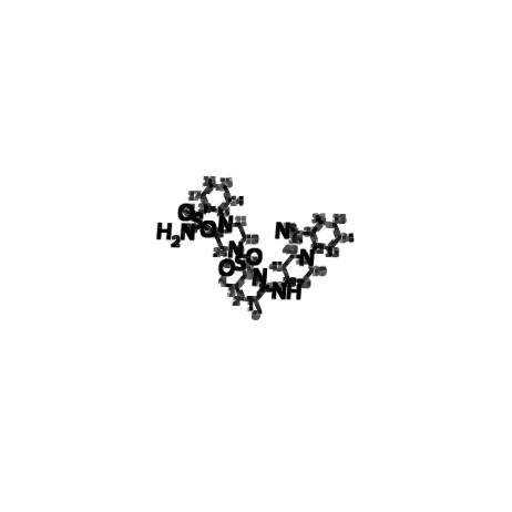 Cc1cc(C)c(S(=O)(=O)N2CCN(c3ccccc3S(N)(=O)=O)CC2)nc1NC1CCN(c2ccccc2C#N)CC1